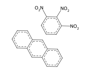 O=[N+]([O-])c1cccc([N+](=O)[O-])c1[N+](=O)[O-].c1ccc2cc3ccccc3cc2c1